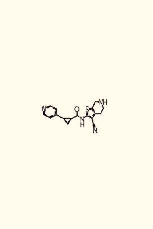 N#Cc1c(NC(=O)C2CC2c2ccncc2)sc2c1CCNC2